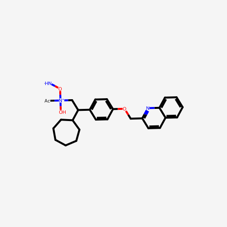 CC(=O)[N+](O)(CC(c1ccc(OCc2ccc3ccccc3n2)cc1)C1CCCCCC1)O[NH]